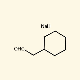 O=CCC1CCCCC1.[NaH]